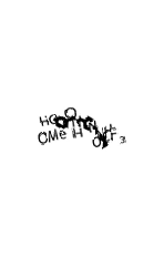 COc1cc(O)cc(C(=O)NCC2CCN(CCNC(=O)C3(C(F)(F)F)CC3)CC2)c1